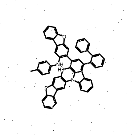 Cc1ccc(Nc2cc3c(cc2-c2cc(-c4ccccc4-c4ccccc4)c4c5ccccc5n5c4c2Bc2cc4sc6ccccc6c4cc2-5)oc2ccccc23)cc1